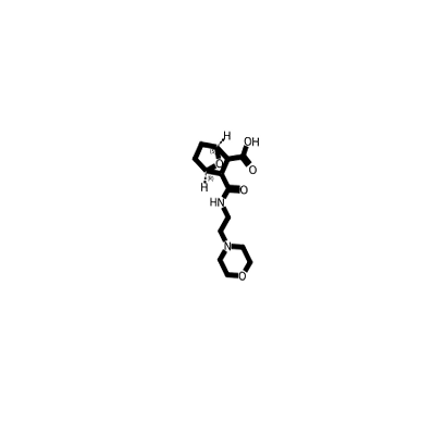 O=C(O)C1C(C(=O)NCCN2CCOCC2)[C@H]2CC[C@@H]1O2